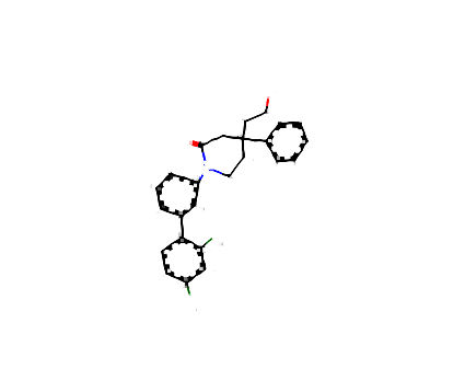 O=C1CC(CCO)(c2ccccc2)CCN1c1cccc(-c2ccc(F)cc2Cl)c1